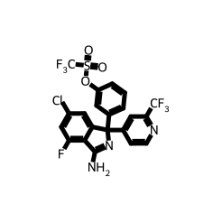 NC1=NC(c2cccc(OS(=O)(=O)C(F)(F)F)c2)(c2ccnc(C(F)(F)F)c2)c2cc(Cl)cc(F)c21